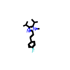 CC(C)c1nc(C=Cc2ccc(F)cc2)n(C)c1C(C)C